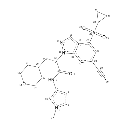 Cn1ccc(NC(=O)[C@H](CC2CCOCC2)n2ncc3c(S(=O)(=O)C4CC4)cc(C#N)cc32)n1